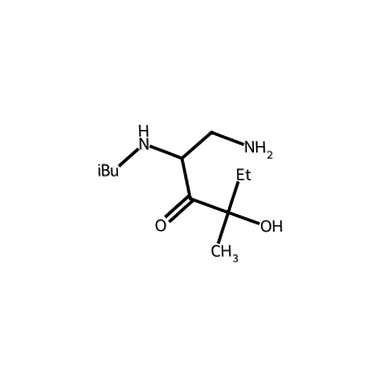 CCC(C)NC(CN)C(=O)C(C)(O)CC